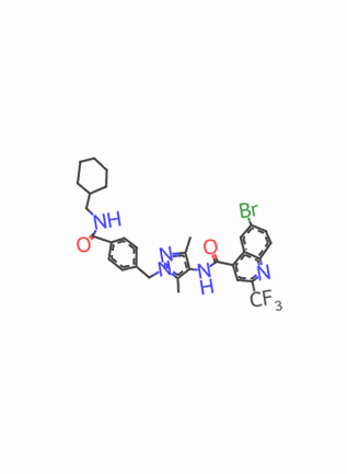 Cc1nn(Cc2ccc(C(=O)NCC3CCCCC3)cc2)c(C)c1NC(=O)c1cc(C(F)(F)F)nc2ccc(Br)cc12